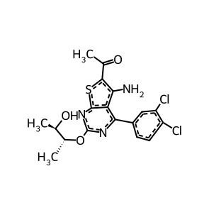 CC(=O)c1sc2nc(O[C@H](C)[C@@H](C)O)nc(-c3ccc(Cl)c(Cl)c3)c2c1N